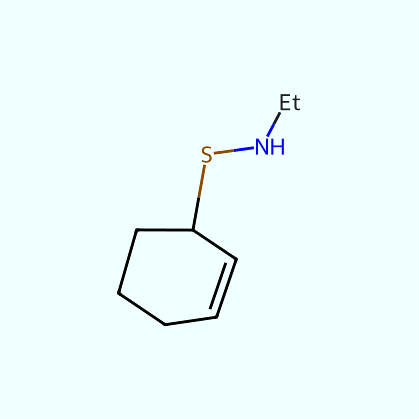 CCNSC1C=CCCC1